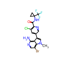 Cn1cc(-c2cnc(C(=O)NC3(C(F)(F)F)CC3)c(Cl)c2)c2c(N)ncc(Br)c21